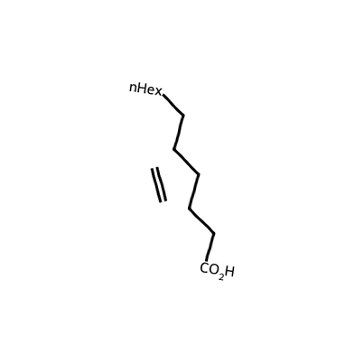 C=C.CCCCCCCCCCCC(=O)O